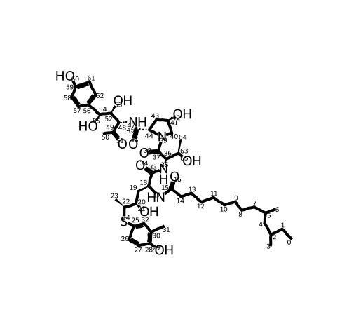 CCC(C)CC(C)CCCCCCCCC(=O)N[C@@H](C[C@@H](O)[C@H](C)Sc1ccc(O)c(C)c1)C(=O)N[C@H](C(=O)N1C[C@H](O)C[C@H]1C(=O)N[C@H](C(C)=O)[C@H](O)[C@@H](O)c1ccc(O)cc1)[C@@H](C)O